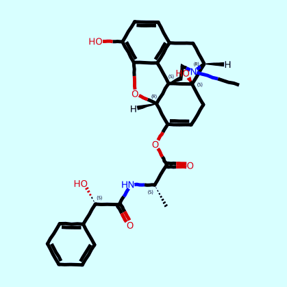 C[C@H](NC(=O)[C@@H](O)c1ccccc1)C(=O)OC1=CC[C@@]2(O)[C@H]3Cc4ccc(O)c5c4[C@@]2(CCN3C)[C@H]1O5